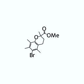 COC(=O)C1(C)CCc2c(C)c(Br)c(C)c(C)c2O1